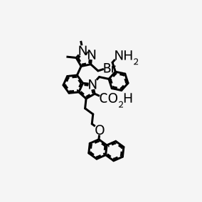 Cc1c(-c2cccc3c(CCCOc4cccc5ccccc45)c(C(=O)O)n(Cc4ccccc4CN)c23)c(CBr)nn1C